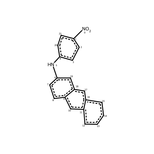 O=[N+]([O-])c1ccc(Nc2ccc3cc4ccccc4cc3c2)cc1